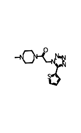 CN1CCN(C(=O)Cn2nnnc2-c2cccs2)CC1